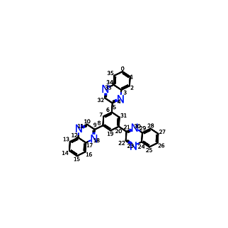 c1ccc2nc(-c3cc(-c4cnc5ccccc5n4)cc(-c4cnc5ccccc5n4)c3)cnc2c1